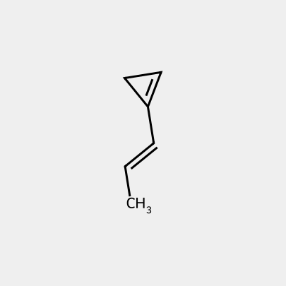 CC=CC1=CC1